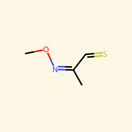 CON=C(C)C=S